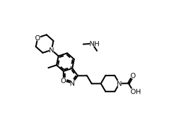 CNC.Cc1c(N2CCOCC2)ccc2c(CCC3CCN(C(=O)O)CC3)noc12